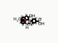 Cc1ccc(Nc2nc3cc(C(=O)O)ccc3n2[C@@H]2c3ccccc3C[C@@H]2O)cc1